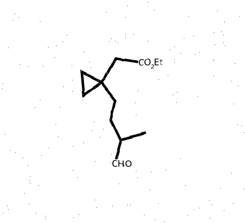 CCOC(=O)CC1(CCC(C)C=O)CC1